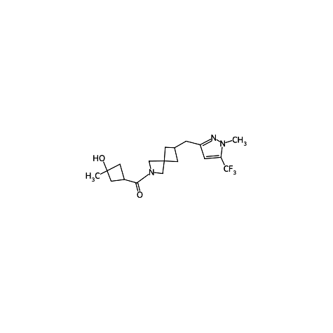 Cn1nc(CC2CC3(C2)CN(C(=O)C2CC(C)(O)C2)C3)cc1C(F)(F)F